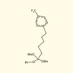 CO[Si](CCCCCc1ccc(C(F)(F)F)cc1)(OC)OC(C)C